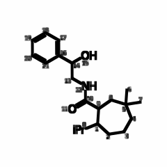 CC(C)C1CCCC(C)(C)CC1C(=O)NCC(O)c1ccccc1